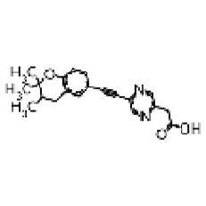 CC1Cc2cc(C#Cc3cnc(CC(=O)O)cn3)ccc2OC1(C)C